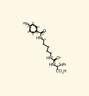 CCC[C@H](NC(=O)NCCCCCNC(=O)c1ccc([18F])cc1)C(=O)O